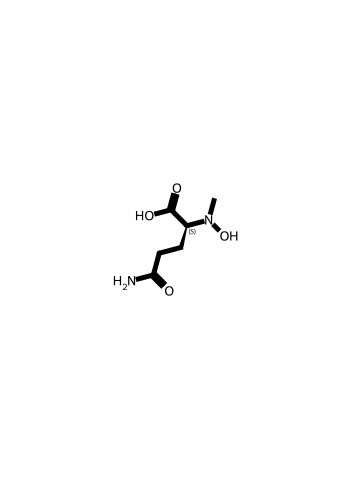 CN(O)[C@@H](CCC(N)=O)C(=O)O